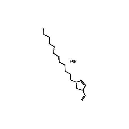 Br.C=CN1C=CN(CCCCCCCCCCCC)C1